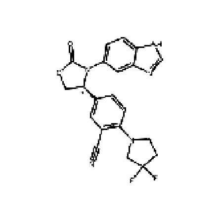 N#Cc1cc([C@H]2COC(=O)N2c2ccc3[nH]cnc3c2)ccc1N1CCC(F)(F)C1